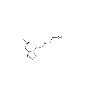 C=C(C)Cc1cnnn1CCOCCO